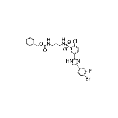 O=C(NCCCNS(=O)(=O)c1cc(-c2nc(-c3ccc(Br)c(F)c3)c[nH]2)ccc1Cl)OCc1ccccc1